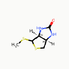 CSC1SC[C@@H]2NC(=O)N[C@H]12